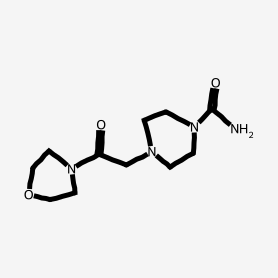 NC(=O)N1CCN(CC(=O)N2CCOCC2)CC1